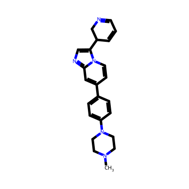 CN1CCN(c2ccc(-c3ccn4c(C5C=CC=NC5)cnc4c3)cc2)CC1